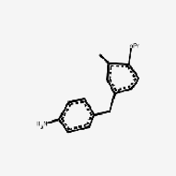 CCCc1ccc(Cc2ccc(N)cc2)cc1C